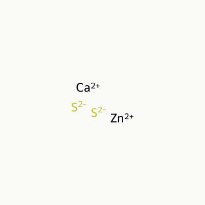 [Ca+2].[S-2].[S-2].[Zn+2]